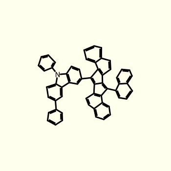 c1ccc(-c2ccc3c(c2)c2cc(C4=C5C(=C(c6cccc7ccccc67)c6c5ccc5ccccc65)c5ccc6ccccc6c54)ccc2n3-c2ccccc2)cc1